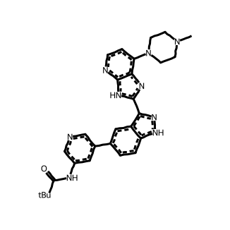 CN1CCN(c2ccnc3[nH]c(-c4n[nH]c5ccc(-c6cncc(NC(=O)C(C)(C)C)c6)cc45)nc23)CC1